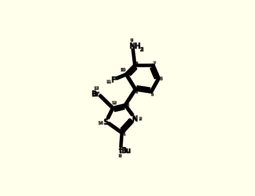 CC(C)(C)c1nc(-c2cccc(N)c2F)c(Br)s1